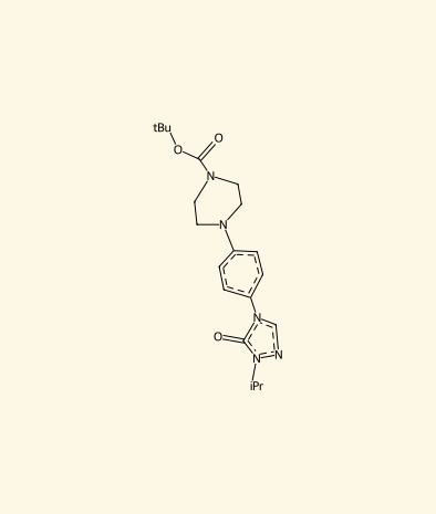 CC(C)n1ncn(-c2ccc(N3CCN(C(=O)OC(C)(C)C)CC3)cc2)c1=O